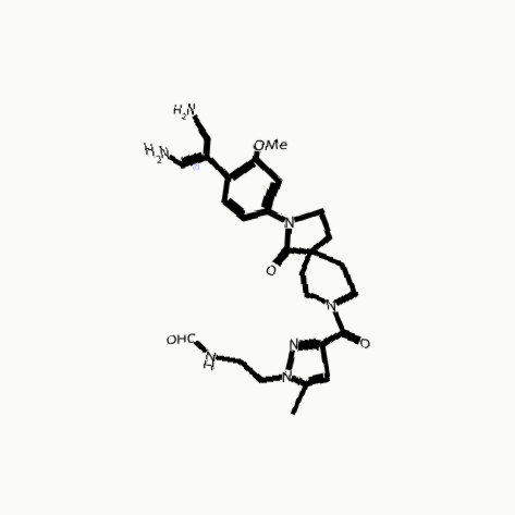 COc1cc(N2CCC3(CCN(C(=O)c4cc(C)n(CCNC=O)n4)CC3)C2=O)ccc1/C(=C/N)CN